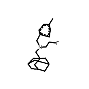 Cc1ccc(CN(CCF)CC23CC4CC(CC(C4)C2)C3)cc1